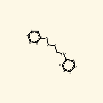 c1ccc(OCCC[Te]c2ccccc2)cc1